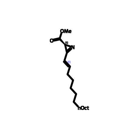 CCCCCCCCCCCCC/C=C/C1=N[C@@H]1C(=O)OC